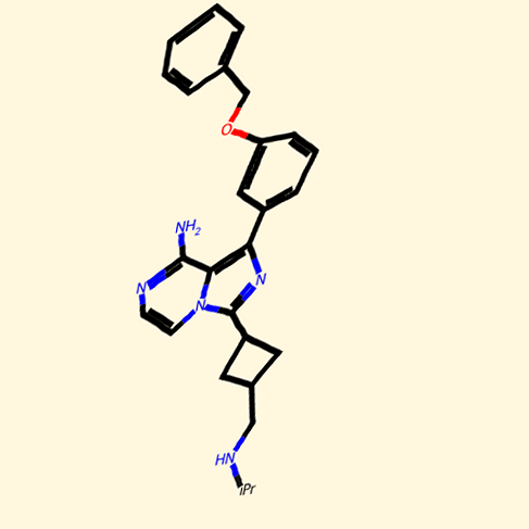 CC(C)NCC1CC(c2nc(-c3cccc(OCc4ccccc4)c3)c3c(N)nccn23)C1